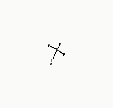 F[B-](F)(F)F.[Ta]